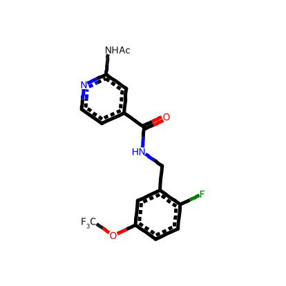 CC(=O)Nc1cc(C(=O)NCc2cc(OC(F)(F)F)ccc2F)ccn1